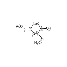 C=C[C@H]1O[C@H](COC(C)=O)C=C[C@H]1O